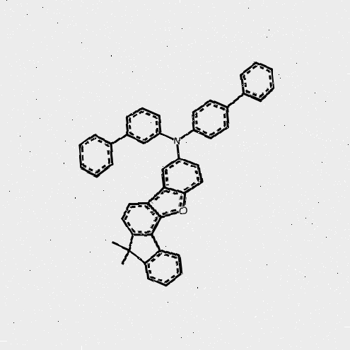 CC1(C)c2ccccc2-c2c1ccc1c2oc2ccc(N(c3ccc(-c4ccccc4)cc3)c3cccc(-c4ccccc4)c3)cc21